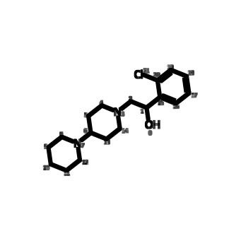 OC(CN1CCC(N2CCCCC2)CC1)c1ccccc1Cl